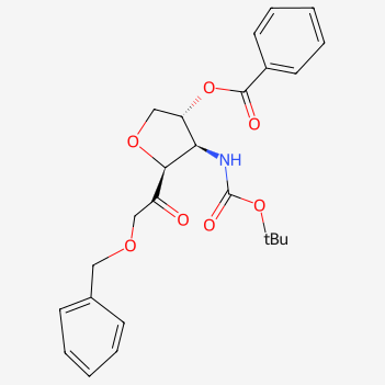 CC(C)(C)OC(=O)N[C@@H]1[C@@H](OC(=O)c2ccccc2)CO[C@@H]1C(=O)COCc1ccccc1